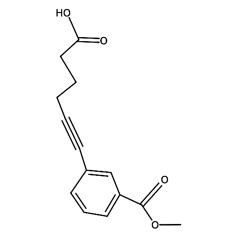 COC(=O)c1cccc(C#CCCCC(=O)O)c1